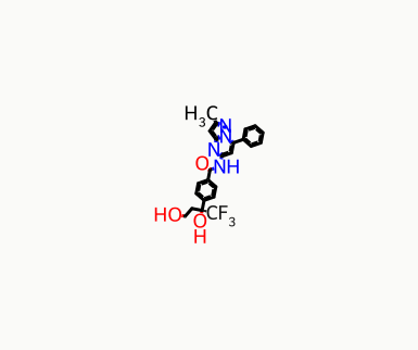 Cc1cc2nc(NC(=O)c3ccc([C@](O)(CCO)C(F)(F)F)cc3)cc(-c3ccccc3)n2n1